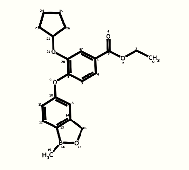 CCOC(=O)c1ccc(Oc2ccc3c(c2)COB3C)c(OC2CCCC2)c1